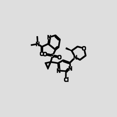 C[C@H]1COCCN1c1cc(C2(S(=O)(=O)c3cccnc3C(=O)N(C)C)CC2)nc(Cl)n1